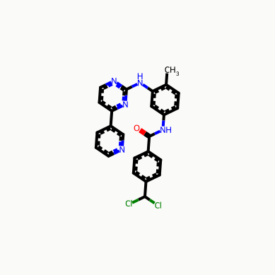 Cc1ccc(NC(=O)c2ccc(C(Cl)Cl)cc2)cc1Nc1nccc(-c2cccnc2)n1